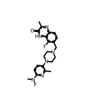 Cc1nc(N(C)F)ccc1N1CCN(Cc2ccc3nc(C)c(=O)[nH]c3c2F)CC1